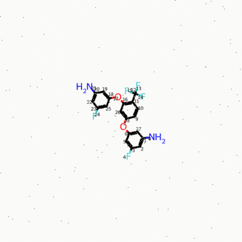 Nc1cc(F)cc(Oc2ccc(C(F)(F)F)c(Oc3cc(N)cc(F)c3)c2)c1